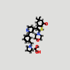 CC1(C)CC(=O)c2sc(N3CCOCC3)c(-c3ccnc(-c4cccc(CN5CCC[C@H]5C(=O)O)c4)c3)c2C1